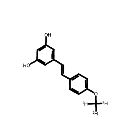 [2H]C([2H])([2H])Oc1ccc(/C=C/c2cc(O)cc(O)c2)cc1